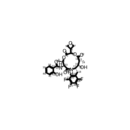 C[C@H]1OC(=O)C(C2COC2)OC(=O)[C@H](C)[C@H](O)[C@H](Cc2c(F)c(F)c(F)c(F)c2F)NC(=O)[C@H]1NC(=O)c1ccccc1O